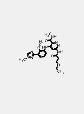 CCOCCC(=O)Nc1cc(Nc2cccc(-c3ncn(C)n3)c2OC)c(C(=O)NC)nn1